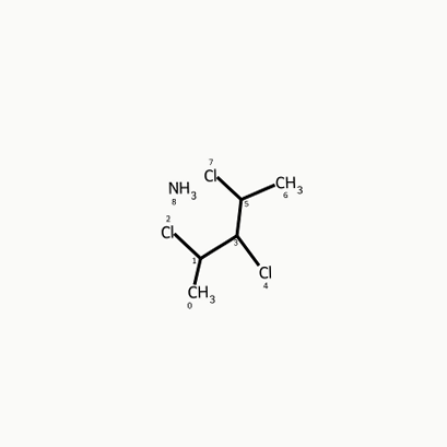 CC(Cl)C(Cl)C(C)Cl.N